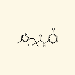 CC(O)(Cn1cc(F)cn1)C(=O)Nc1cncc(Cl)c1